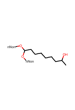 CCCCCCCCCOC(CCCCCCC(C)O)OCCCCCCCCC